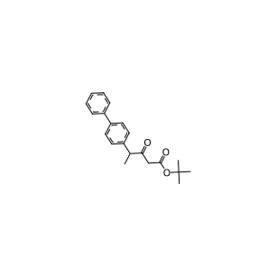 CC(C(=O)CC(=O)OC(C)(C)C)c1ccc(-c2ccccc2)cc1